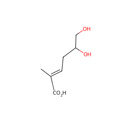 C/C(=C\CC(O)CO)C(=O)O